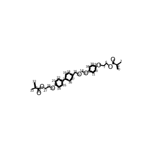 C=C(C)C(=O)OCCOc1ccc(OCOCc2ccc(-c3ccc(OCCOC(=O)C(=C)C)cc3)cc2)cc1